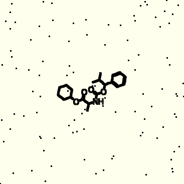 CC(NC(=O)OC(c1ccccc1)C(C)C)C(=O)OC1CCCCC1